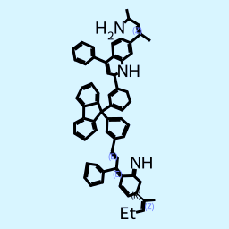 CC/C=C(/C)[C@H]1C=C/C(=C(/C=C/c2cccc(C3(C4=CCCC(C5C=C(c6ccccc6)c6ccc(/C(C)=C\C(C)N)cc6N5)=C4)c4ccccc4-c4ccccc43)c2)c2ccccc2)C(=N)C1